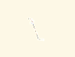 CC(=O)NCCCCCOCCOCCCCCNC(=O)COC(C)C